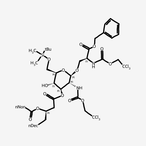 CCCCCCCCCCC[C@H](CC(=O)O[C@H]1[C@H](O)[C@@H](CO[Si](C)(C)C(C)(C)C)O[C@@H](OC[C@H](NC(=O)OCC(Cl)(Cl)Cl)C(=O)OCc2ccccc2)[C@@H]1NC(=O)OCC(Cl)(Cl)Cl)OC(=O)CCCCCCCCC